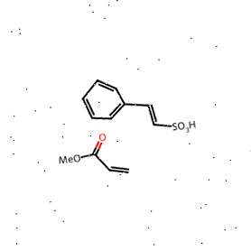 C=CC(=O)OC.O=S(=O)(O)C=Cc1ccccc1